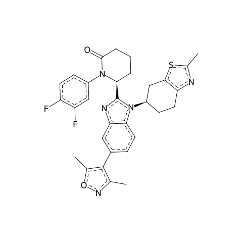 Cc1nc2c(s1)C[C@H](n1c([C@@H]3CCCC(=O)N3c3ccc(F)c(F)c3)nc3cc(-c4c(C)noc4C)ccc31)CC2